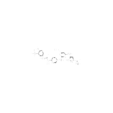 Cc1cc(Nc2cc(C(N)=O)n[nH]2)nc(Nc2ccc(NC(=S)Nc3ccc(Cl)c(C(F)(F)F)c3)nc2)n1